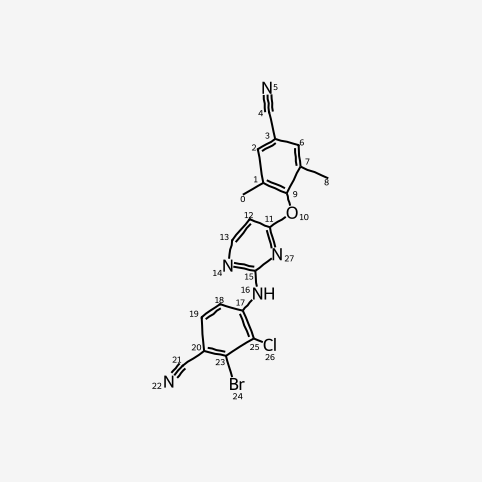 Cc1cc(C#N)cc(C)c1Oc1ccnc(Nc2ccc(C#N)c(Br)c2Cl)n1